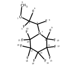 COC(F)(F)C(F)N1C(F)(F)C(F)(F)C(F)(F)C(F)(F)C1(F)F